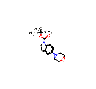 CC(C)(C)OC(=O)N1CCc2cc(N3CCOCC3)ccc21